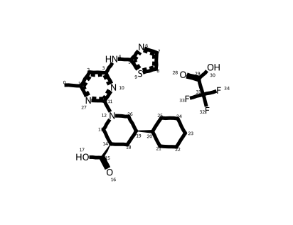 Cc1cc(Nc2nccs2)nc(N2C[C@H](C(=O)O)C[C@H](C3CCCCC3)C2)n1.O=C(O)C(F)(F)F